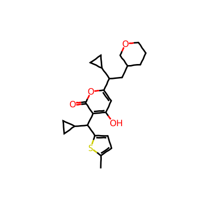 Cc1ccc(C(c2c(O)cc(C(CC3CCCOC3)C3CC3)oc2=O)C2CC2)s1